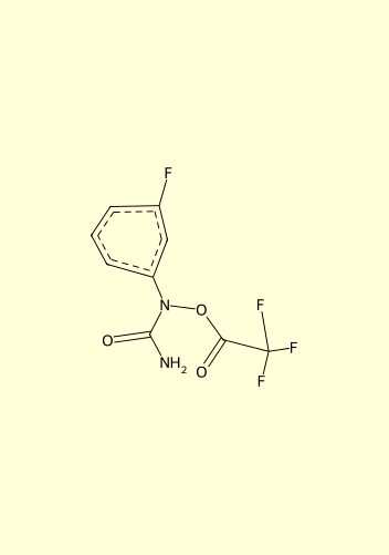 NC(=O)N(OC(=O)C(F)(F)F)c1cccc(F)c1